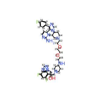 Nc1nccc(-c2c(-c3ccc(F)cc3)ncn2C2CCN(CCOCCOCCNC3CCN(C[C@](O)(Cn4cncn4)c4ccc(F)cc4F)CC3)CC2)n1